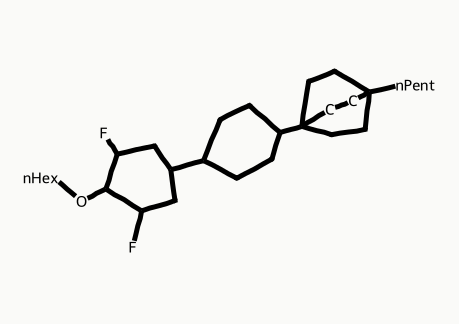 CCCCCCOC1C(F)CC(C2CCC(C34CCC(CCCCC)(CC3)CC4)CC2)CC1F